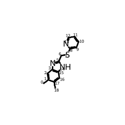 Cc1cc2nc(CSc3ccccn3)[nH]c2cc1C